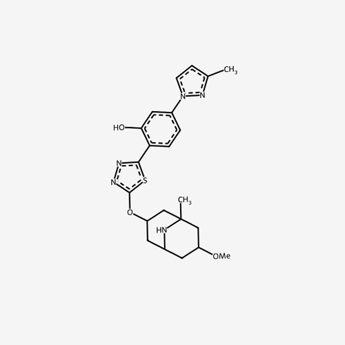 COC1CC2CC(Oc3nnc(-c4ccc(-n5ccc(C)n5)cc4O)s3)CC(C)(C1)N2